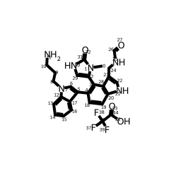 Cn1c(-c2c(-c3cn(CCCN)c4ccccc34)ccc3[nH]cc(CNC=O)c23)c[nH]c1=O.O=C(O)C(F)(F)F